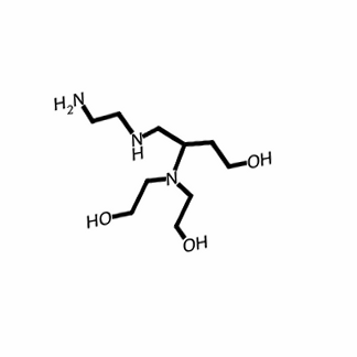 NCCNCC(CCO)N(CCO)CCO